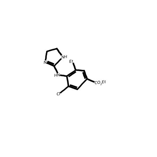 CCOC(=O)c1cc(Cl)c(NC2=NCCN2)c(CC)c1